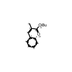 CC(=Cc1ccccc1)C(=O)OCC(C)C